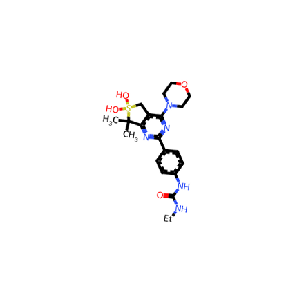 CCNC(=O)Nc1ccc(-c2nc(N3CCOCC3)c3c(n2)C(C)(C)S(O)(O)C3)cc1